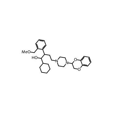 COCc1ccccc1C(CCN1CCN(C2COc3ccccc3O2)CC1)C(O)C1CCCCC1